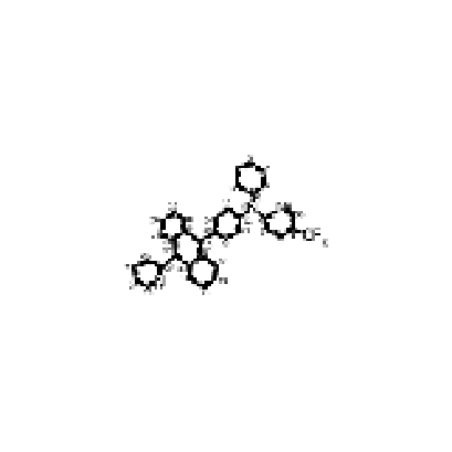 FC(F)(F)c1ccc(N(c2ccccc2)c2ccc(-c3c4ccccc4c(-c4ccccn4)c4ccccc34)cc2)nc1